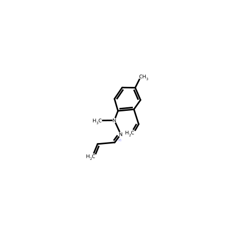 C=C/C=N\N(C)c1ccc(C)cc1C=C